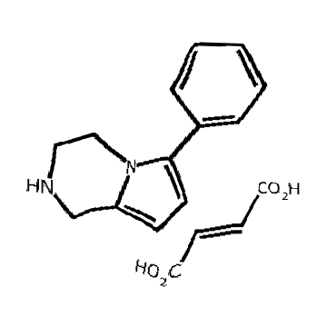 O=C(O)C=CC(=O)O.c1ccc(-c2ccc3n2CCNC3)cc1